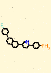 Fc1ccc(-c2ccc3ccc(-c4ccc(-c5ccc(P)cc5)nc4)cc3c2)cc1